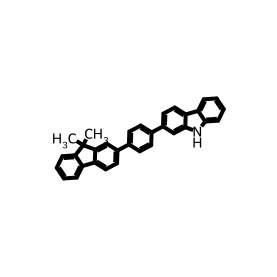 CC1(C)c2ccccc2-c2ccc(-c3ccc(-c4ccc5c(c4)[nH]c4ccccc45)cc3)cc21